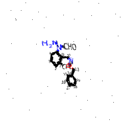 Cc1cccc(N(N)C=O)c1/C=N\OCc1ccccc1